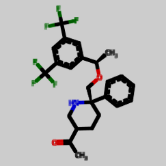 CC(=O)C1CC[C@@](CO[C@H](C)c2cc(C(F)(F)F)cc(C(F)(F)F)c2)(c2ccccc2)NC1